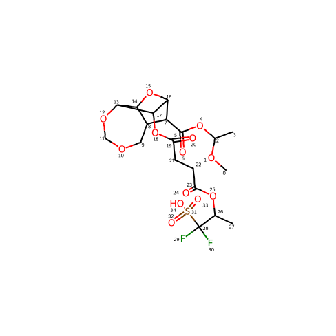 COC(C)OC(=O)C1C2COCOC3C2OC1C3OC(=O)CCC(=O)OC(C)C(F)(F)S(=O)(=O)O